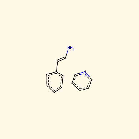 NC=Cc1ccccc1.c1ccncc1